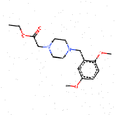 CCOC(=O)CN1CCN(Cc2cc(OC)ccc2OC)CC1